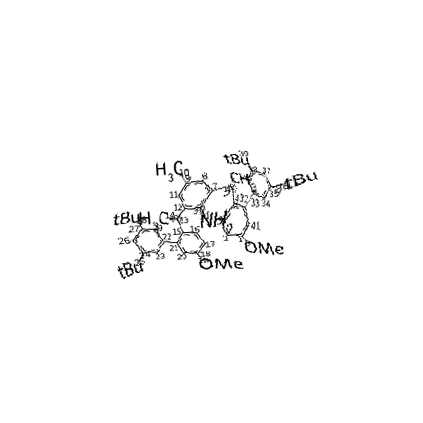 COc1ccc([C@@H](C)c2cc(C)cc([C@H](C)c3ccc(OC)cc3-c3cc(C(C)(C)C)cc(C(C)(C)C)c3)c2N)c(-c2cc(C(C)(C)C)cc(C(C)(C)C)c2)c1